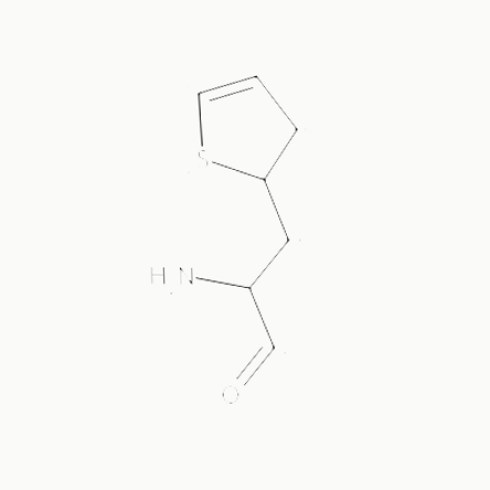 NC(C=O)CC1CC=CS1